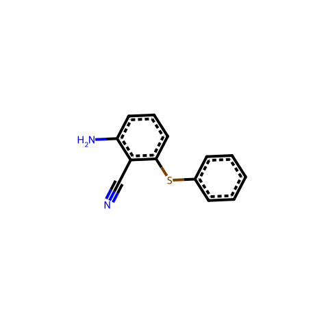 N#Cc1c(N)cccc1Sc1ccccc1